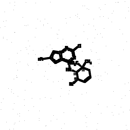 CCCc1cc2c(N[C@H]3[C@H](CC)C=CC[C@@]3(C)C(=O)OCC)nc(Cl)nn2c1